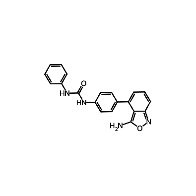 Nc1onc2cccc(-c3ccc(NC(=O)Nc4ccccc4)cc3)c12